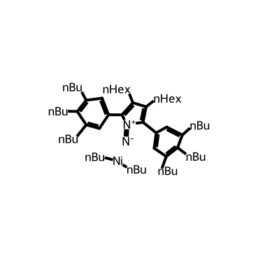 CCCCCCC1=C(c2cc(CCCC)c(CCCC)c(CCCC)c2)[N+](=[N-])C(c2cc(CCCC)c(CCCC)c(CCCC)c2)=C1CCCCCC.CCC[CH2][Ni][CH2]CCC